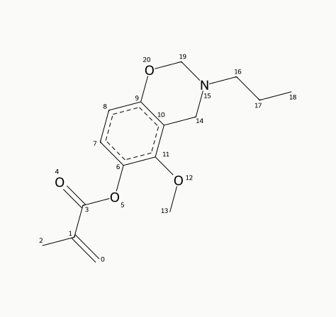 C=C(C)C(=O)Oc1ccc2c(c1OC)CN(CCC)CO2